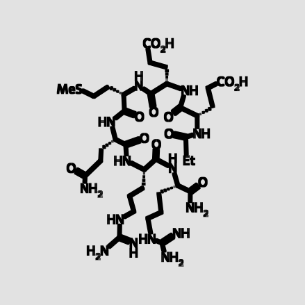 CCC(=O)N[C@@H](CCC(=O)O)C(=O)N[C@@H](CCC(=O)O)C(=O)N[C@@H](CCSC)C(=O)N[C@@H](CCC(N)=O)C(=O)N[C@@H](CCCNC(=N)N)C(=O)N[C@@H](CCCNC(=N)N)C(N)=O